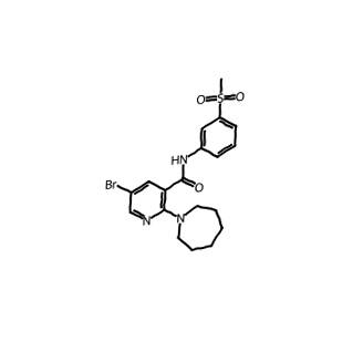 CS(=O)(=O)c1cccc(NC(=O)c2cc(Br)cnc2N2CCCCCC2)c1